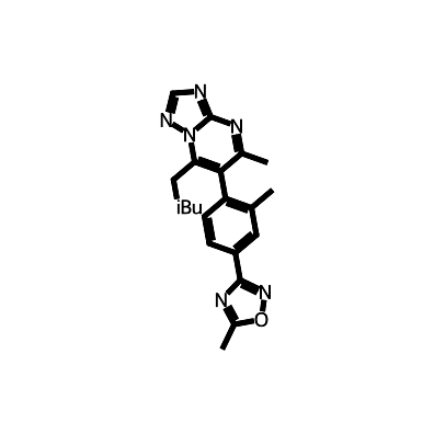 CCC(C)Cc1c(-c2ccc(-c3noc(C)n3)cc2C)c(C)nc2ncnn12